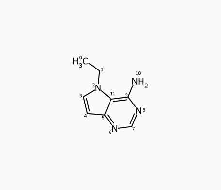 CCn1ccc2ncnc(N)c21